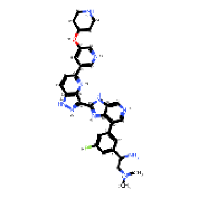 CN(C)CC(N)c1cc(F)cc(-c2cncc3[nH]c(-c4n[nH]c5ccc(-c6cncc(OC7CCNCC7)c6)nc45)nc23)c1